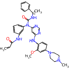 C=CC(=O)Nc1cccc(N(C(=O)N[C@@H](C)c2ccccc2)c2cc(Nc3ccc(N4CCN(C)CC4)cc3OC)ncn2)c1